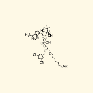 CCCCCCCCCCCCCCCCOC[C@@H](COP(=O)(O)OC[C@@]1(C#N)O[C@@H](c2ccc3c(N)ncnn23)[C@@H]2OC(C)(C)O[C@@H]21)OCc1cc(Cl)cc(C#N)c1